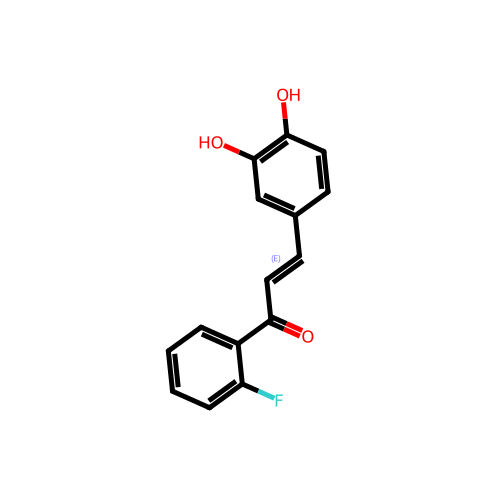 O=C(/C=C/c1ccc(O)c(O)c1)c1ccccc1F